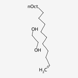 C=CCCCCCCCCCCCCCCCC.OCCO